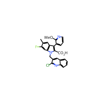 COc1ncccc1-c1c(C(=O)O)n(Cc2cc3ccccc3nc2Cl)c2cc(F)c(C)cc12